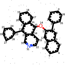 c1ccc(-c2cc3ccccc3cc2Oc2c3ccccc3c(-c3ccccc3)c3cnccc23)cc1